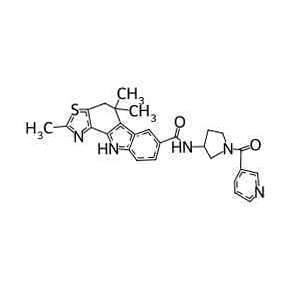 Cc1nc2c(s1)CC(C)(C)c1c-2[nH]c2ccc(C(=O)NC3CCN(C(=O)c4cccnc4)C3)cc12